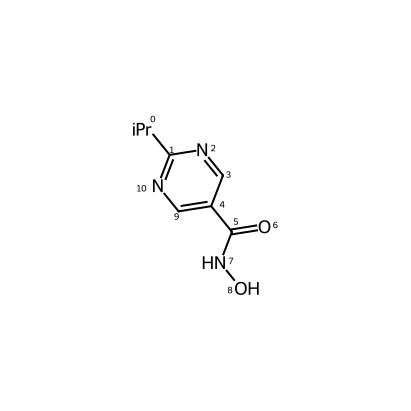 CC(C)c1ncc(C(=O)NO)cn1